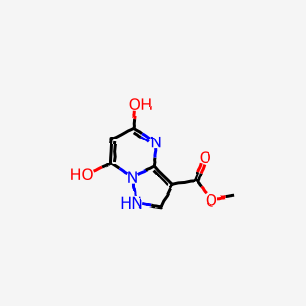 COC(=O)C1=C2N=C(O)C=C(O)N2NC1